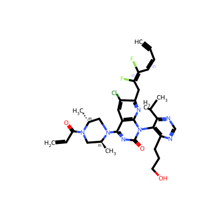 C#C/C=C\C(F)=C(\F)Cc1nc2c(cc1Cl)c(N1C[C@@H](C)N(C(=O)C=C)C[C@@H]1C)nc(=O)n2-c1c(CCCO)ncnc1C(C)C